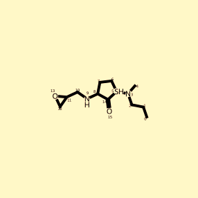 CCCN(C)[SH]1CCC(NCC2CO2)C1=O